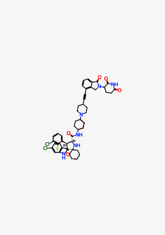 O=C1CCC(N2Cc3c(C#CC4CCN(C56CCC(NC(=O)[C@@H]7NC8(CCCCC8)[C@@]8(C(=O)Nc9cc(Cl)ccc98)[C@H]7c7cccc(Cl)c7F)(CC5)CC6)CC4)cccc3C2=O)C(=O)N1